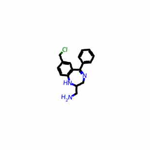 NCC1CN=C(c2ccccc2)c2cc(CCl)ccc2N1